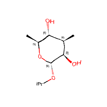 CC(C)O[C@@H]1O[C@@H](C)[C@H](O)[C@@H](C)[C@H]1O